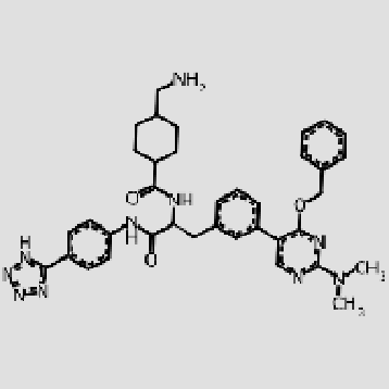 CN(C)c1ncc(-c2cccc(C[C@H](NC(=O)C3CCC(CN)CC3)C(=O)Nc3ccc(-c4nnn[nH]4)cc3)c2)c(OCc2ccccc2)n1